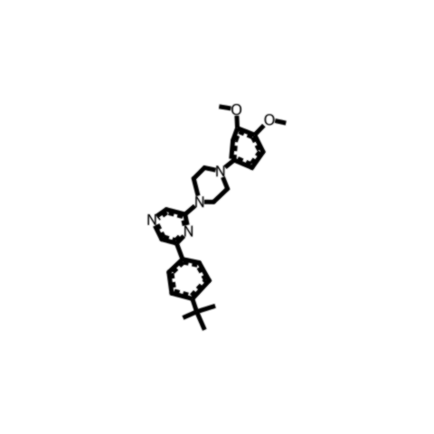 COc1ccc(N2CCN(c3cncc(-c4ccc(C(C)(C)C)cc4)n3)CC2)cc1OC